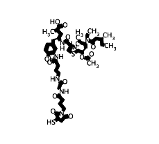 CC[C@H](C)CC(=O)N(CC)C(C[C@@H](OC(C)=O)c1nc(C(=O)N[C@@H](Cc2ccc(O)c(NC(=O)CCCNC(=O)CNC(=O)CCCN3C(=O)CC(S)C3=O)c2)CC(C)C(=O)O)cs1)C(C)C